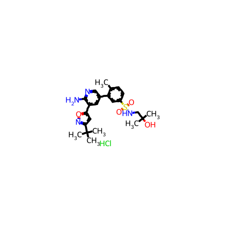 Cc1ccc(S(=O)(=O)NCC(C)(C)O)cc1-c1cnc(N)c(-c2cc(C(C)(C)C)no2)c1.Cl